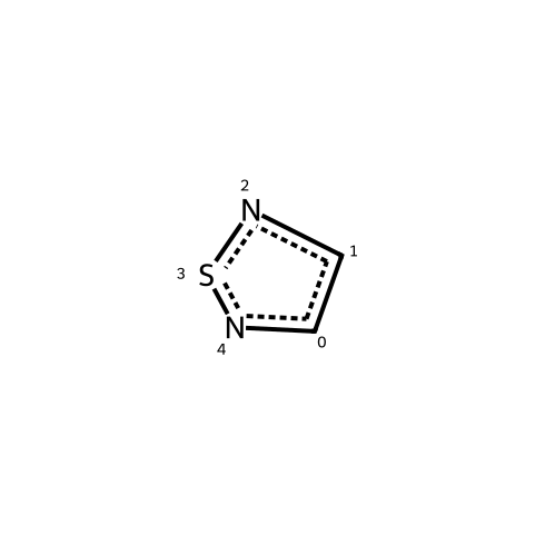 c1cnsn1